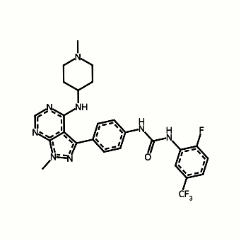 CN1CCC(Nc2ncnc3c2c(-c2ccc(NC(=O)Nc4cc(C(F)(F)F)ccc4F)cc2)nn3C)CC1